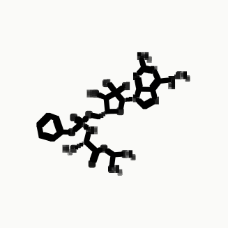 CNc1nc(N)nc2c1ncn2[C@@H]1O[C@H](CO[P@](=O)(N[C@@H](C)C(=O)OC(C)C)Oc2ccccc2)[C@@H](O)C1(Cl)Cl